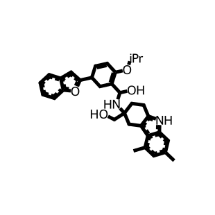 Cc1cc(C)c2c3c([nH]c2c1)CCC(CO)(NC(O)C1=C(OC(C)C)C=CC(c2cc4ccccc4o2)C1)C3